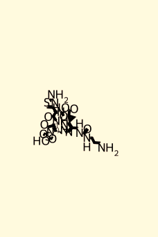 NCCCNC(=O)NCc1cnn(C[C@H]2[C@H](NC(=O)C(=NOC3(C(=O)O)CC3)c3csc(N)n3)C(=O)N2S(=O)(=O)O)n1